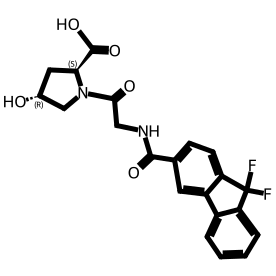 O=C(NCC(=O)N1C[C@H](O)C[C@H]1C(=O)O)c1ccc2c(c1)-c1ccccc1C2(F)F